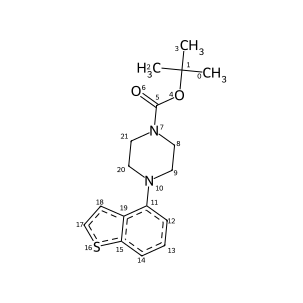 CC(C)(C)OC(=O)N1CCN(c2cccc3sccc23)CC1